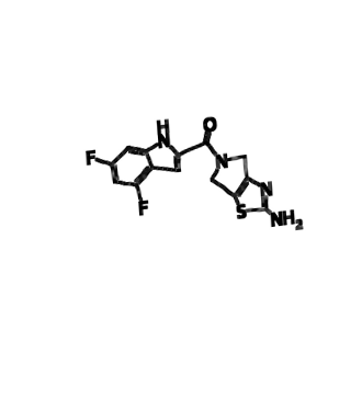 Nc1nc2c(s1)CN(C(=O)c1cc3c(F)cc(F)cc3[nH]1)C2